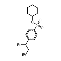 CCC(CC(C)C)c1ccc(S(=O)(=O)OC2CCCCC2)cc1